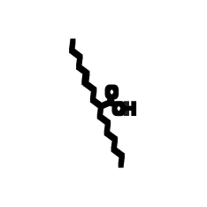 CCCC/C=C/CCC(CCCCCCC)C(=O)O